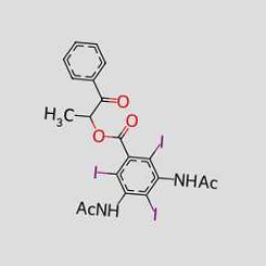 CC(=O)Nc1c(I)c(NC(C)=O)c(I)c(C(=O)OC(C)C(=O)c2ccccc2)c1I